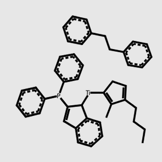 CCCCC1=CC[C]([Ti][CH]2C(P(c3ccccc3)c3ccccc3)=Cc3ccccc32)=C1C.c1ccc(CCc2ccccc2)cc1